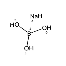 OB(O)O.[NaH]